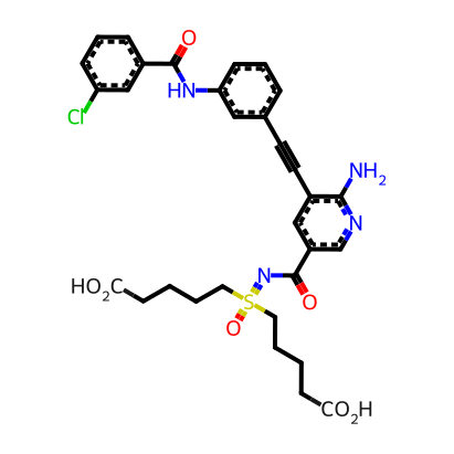 Nc1ncc(C(=O)N=S(=O)(CCCCC(=O)O)CCCCC(=O)O)cc1C#Cc1cccc(NC(=O)c2cccc(Cl)c2)c1